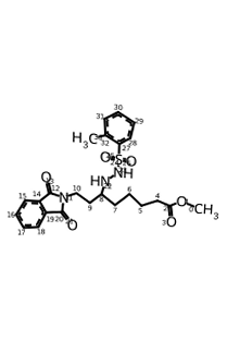 COC(=O)CCCCC(CCN1C(=O)c2ccccc2C1=O)NNS(=O)(=O)c1ccccc1C